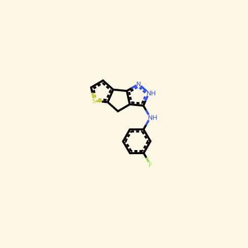 Fc1cccc(Nc2[nH]nc3c2Cc2sccc2-3)c1